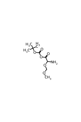 COCOC(N)C(=O)OC(=O)OC(C)(C)C